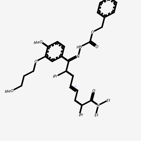 CCN(CC)C(=O)C(C/C=C/CC(C(=NNC(=O)OCc1ccccc1)c1ccc(OC)c(OCCCOC)c1)C(C)C)C(C)C